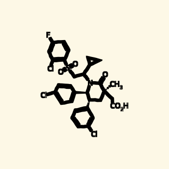 C[C@]1(CC(=O)O)C[C@H](c2cccc(Cl)c2)[C@@H](c2ccc(Cl)cc2)N(C(CS(=O)(=O)c2ccc(F)cc2Cl)C2CC2)C1=O